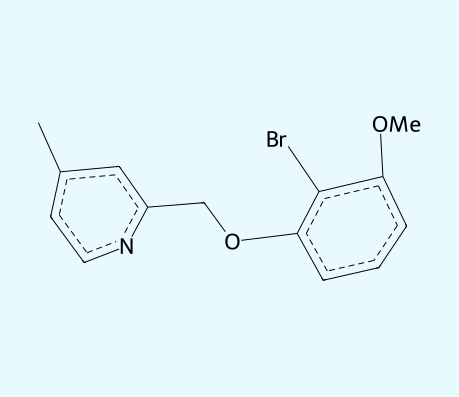 COc1cccc(OCc2cc(C)ccn2)c1Br